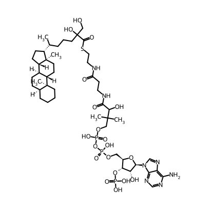 CC(CCCC(O)(CO)C(=O)SCCNC(=O)CCNC(=O)C(O)C(C)(C)COP(=O)(O)OP(=O)(O)OC[C@H]1O[C@@H](n2cnc3c(N)ncnc32)[C@H](O)[C@@H]1OP(=O)(O)O)[C@H]1CC[C@H]2[C@@H]3CC[C@@H]4CCCC[C@]4(C)[C@H]3CC[C@]12C